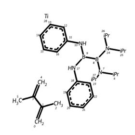 C=C(C)C(=C)C.CC(C)N(B(B(Nc1ccccc1)Nc1ccccc1)N(C(C)C)C(C)C)C(C)C.[Ti]